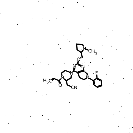 C=CC(=O)N1CCN(c2nc(OCC3CCCN3C)nc3c2CCN(c2ccccc2F)C3)CC1CC#N